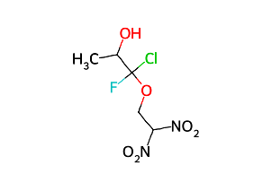 CC(O)C(F)(Cl)OCC([N+](=O)[O-])[N+](=O)[O-]